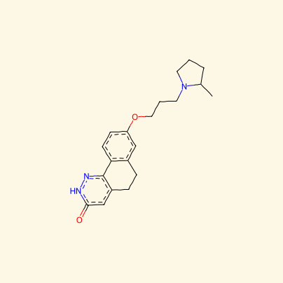 CC1CCCN1CCCOc1ccc2c(c1)CCc1cc(=O)[nH]nc1-2